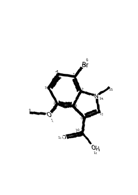 COc1ccc(Br)c2c1c(C(=O)O)cn2C